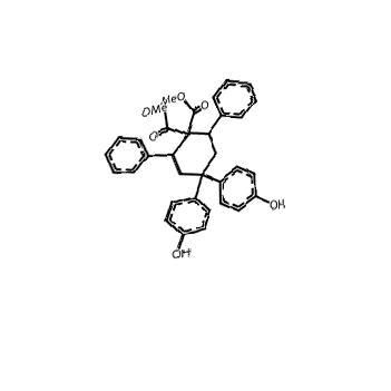 COC(=O)C1(C(=O)OC)C(c2ccccc2)CC(c2ccc(O)cc2)(c2ccc(O)cc2)CC1c1ccccc1